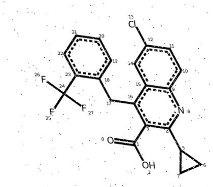 O=C(O)c1c(C2CC2)nc2ccc(Cl)cc2c1Cc1ccccc1C(F)(F)F